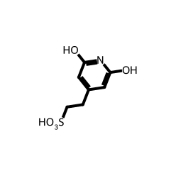 O=S(=O)(O)CCc1cc(O)nc(O)c1